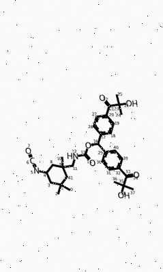 CC1(C)CC(N=C=O)CC(C)(CNC(=O)OC(c2ccc(C(=O)C(C)(C)O)cc2)c2ccc(C(=O)C(C)(C)O)cc2)C1